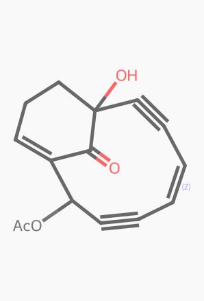 CC(=O)OC1C#C/C=C\C#CC2(O)CCC=C1C2=O